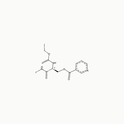 CCOC(=O)N[C@@H](COC(=O)c1cccnc1)C(=O)NI